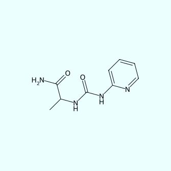 CC(NC(=O)Nc1ccccn1)C(N)=O